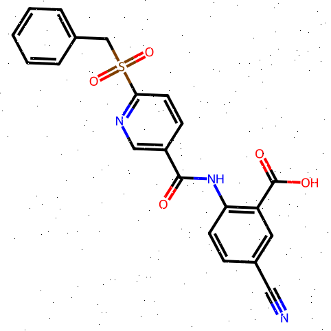 N#Cc1ccc(NC(=O)c2ccc(S(=O)(=O)Cc3ccccc3)nc2)c(C(=O)O)c1